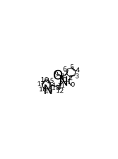 CC1c2ccccc2C(=O)N1C1CC1c1ccccn1